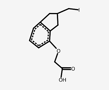 O=C(O)COc1cccc2c1CC(CI)C2